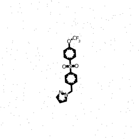 O=S(=O)(c1ccc(Cn2cccn2)cc1)c1ccc(OC(F)(F)F)cc1